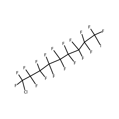 FC(F)(Cl)C(F)(F)C(F)(F)C(F)(F)C(F)(F)C(F)(F)C(F)(F)C(F)(F)C(F)(F)I